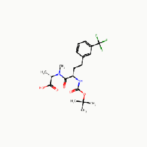 C[C@@H](C(=O)O)N(C)C(=O)[C@@H](CCc1cccc(C(F)(F)F)c1)NC(=O)OC(C)(C)C